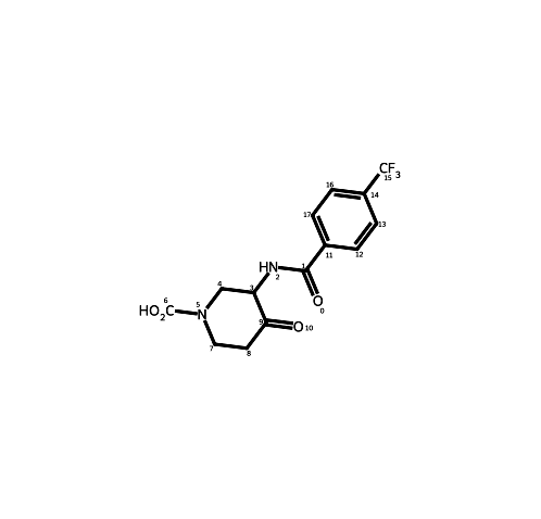 O=C(NC1CN(C(=O)O)CCC1=O)c1ccc(C(F)(F)F)cc1